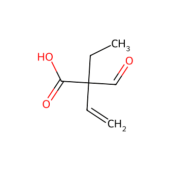 C=CC(C=O)(CC)C(=O)O